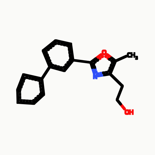 Cc1oc(-c2cccc(-c3ccccc3)c2)nc1CCO